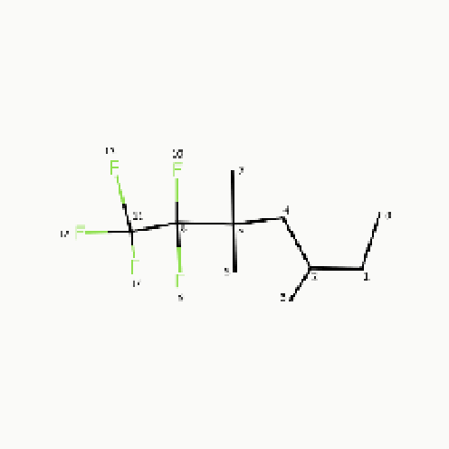 CCC(C)CC(C)(C)C(F)(F)C(F)(F)F